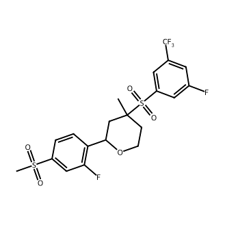 CC1(S(=O)(=O)c2cc(F)cc(C(F)(F)F)c2)CCOC(c2ccc(S(C)(=O)=O)cc2F)C1